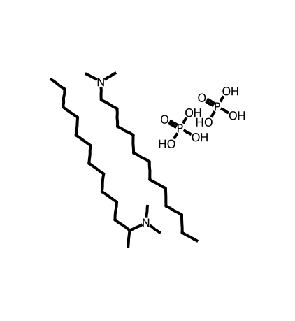 CCCCCCCCCCCC(C)N(C)C.CCCCCCCCCCCCN(C)C.O=P(O)(O)O.O=P(O)(O)O